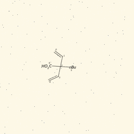 C=CC(C=C)(CCCC)C(=O)O